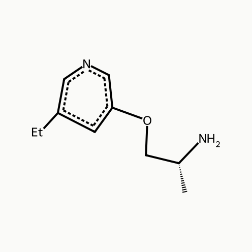 CCc1cncc(OC[C@@H](C)N)c1